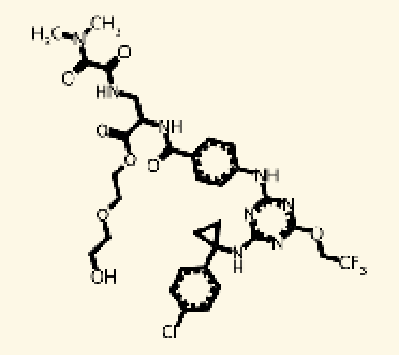 CN(C)C(=O)C(=O)NCC(NC(=O)c1ccc(Nc2nc(NC3(c4ccc(Cl)cc4)CC3)nc(OCC(F)(F)F)n2)cc1)C(=O)OCCOCCO